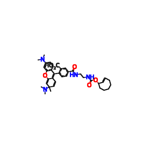 CN(C)c1ccc2c(c1)OC1=CC(C)(N(C)C)C=CC1=C2c1ccc(C(=O)NCCNC(=O)OC2/C=C/CCCCC2)cc1C(=O)O